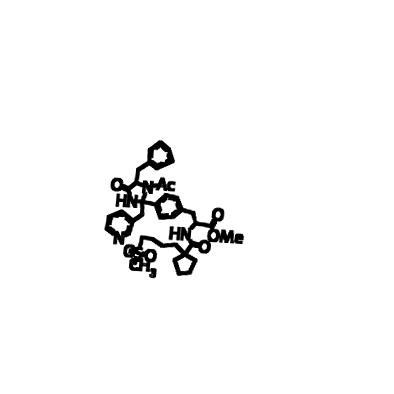 COC(=O)[C@H](Cc1ccc(C2(Cc3cccnc3)NC(=O)C(Cc3ccccc3)N2C(C)=O)cc1)NC(=O)C1(CCCCS(C)(=O)=O)CCCC1